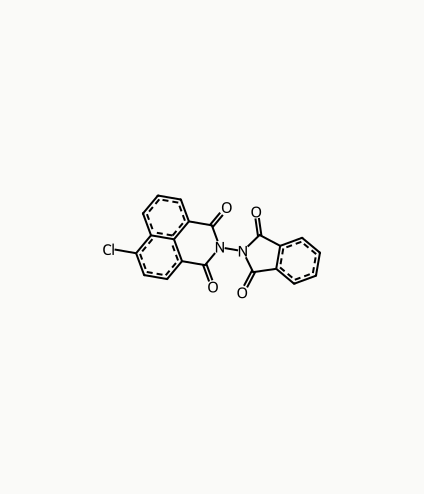 O=C1c2ccccc2C(=O)N1N1C(=O)c2cccc3c(Cl)ccc(c23)C1=O